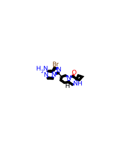 Nc1nccn2c([C@@H]3CC[C@H]4CNC5(CCC5)C(=O)N4C3)nc(Br)c12